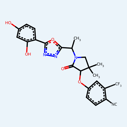 [C-]#[N+]c1ccc(OC2C(=O)N(C(C)c3nnc(-c4ccc(O)cc4O)o3)CC2(C)C)cc1C(F)(F)F